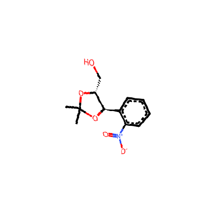 CC1(C)O[C@H](c2ccccc2[N+](=O)[O-])[C@@H](CO)O1